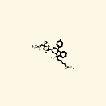 CNCC(C)(C)NC(=O)N1CCCC(C(O)(CCCCOC)c2ccccc2Oc2ccc(F)cc2)C1